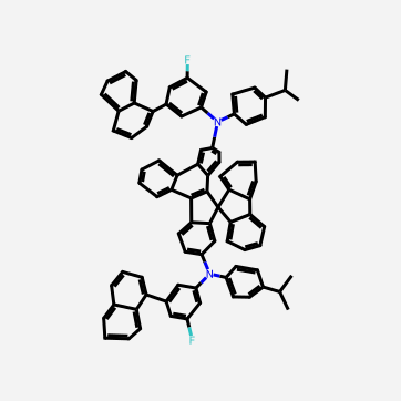 CC(C)c1ccc(N(c2cc(F)cc(-c3cccc4ccccc34)c2)c2ccc3c(c2)C2(c4ccccc4-c4ccccc42)c2c-3c3ccccc3c3cc(N(c4ccc(C(C)C)cc4)c4cc(F)cc(-c5cccc6ccccc56)c4)ccc23)cc1